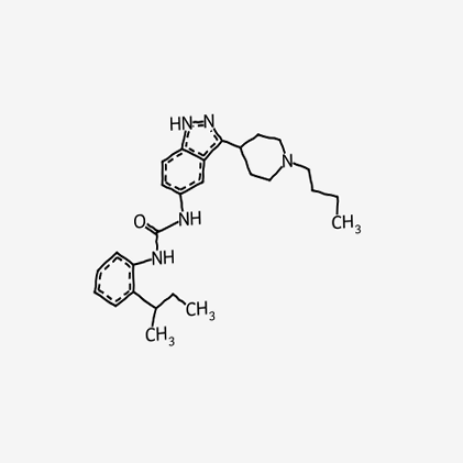 CCCCN1CCC(c2n[nH]c3ccc(NC(=O)Nc4ccccc4C(C)CC)cc23)CC1